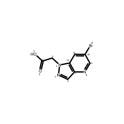 O=C(O)Cn1ncc2ncc(Br)cc21